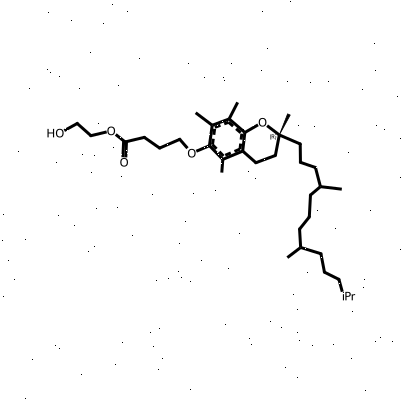 Cc1c(C)c2c(c(C)c1OCCCC(=O)OCCO)CC[C@@](C)(CCCC(C)CCCC(C)CCCC(C)C)O2